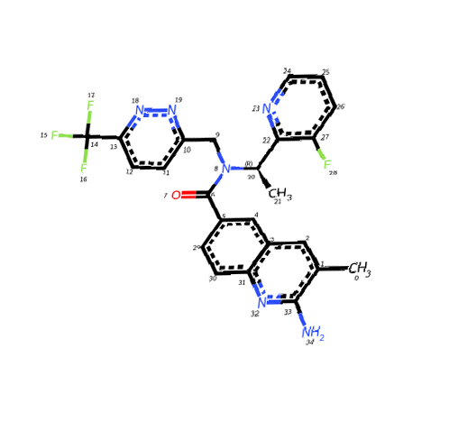 Cc1cc2cc(C(=O)N(Cc3ccc(C(F)(F)F)nn3)[C@H](C)c3ncccc3F)ccc2nc1N